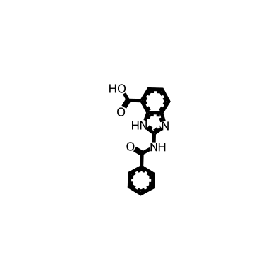 O=C(Nc1nc2cccc(C(=O)O)c2[nH]1)c1ccccc1